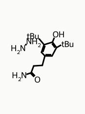 CC(C)(C)c1cc(CCC(N)=O)cc(C(C)(C)C)c1O.NN